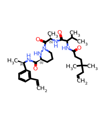 C=CCC(C)(C)CCC(=O)NC(C(=O)N[C@@H](C)C(=O)N1CCC[C@@H](C(=O)N[C@H](C)c2cccc(C=C)c2)N1)C(C)C